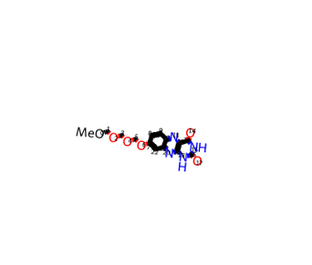 COCOCOCOc1ccc2nc3c(=O)[nH]c(=O)[nH]c3nc2c1